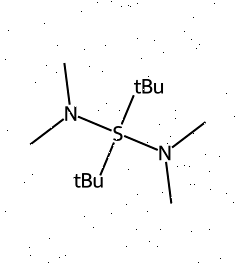 CN(C)S(N(C)C)(C(C)(C)C)C(C)(C)C